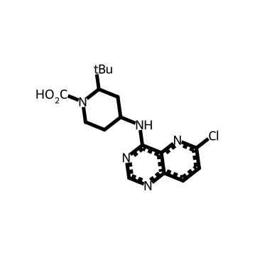 CC(C)(C)C1CC(Nc2ncnc3ccc(Cl)nc23)CCN1C(=O)O